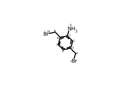 Nc1cc(CBr)ccc1CBr